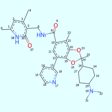 Cc1cc(C)c(CNC(=O)c2cc(-c3cccnc3)c3c(c2C)OC(C)(C2CCC(N(C)C)CC2)O3)c(=O)[nH]1